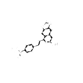 Cc1cc2cc3c(cc2c(/C=C/c2ccc(N(C)C)cc2)n1)OCO3